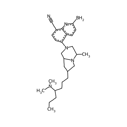 Bc1ccc2c(N3CC(C)N4CC(CCCC(CCC)N(C)C)CC4C3)ccc(C#N)c2n1